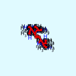 CCCCN(c1nc(NCCCN(CCCN)CCCC2OCC3(CO2)COC(CCCN(CCCNc2nc(N(CCCC)C4CC(C)(C)NC(C)(C)C4)nc(N(CCCC)C4CC(C)(C)NC(C)(C)C4)n2)CCCNc2nc(N(CCCC)C4CC(C)(C)NC(C)(C)C4)nc(N(CCCC)C4CC(C)(C)NC(C)(C)C4)n2)OC3)nc(N(CCCC)C2CC(C)(C)NC(C)(C)C2)n1)C1CC(C)(C)NC(C)(C)C1